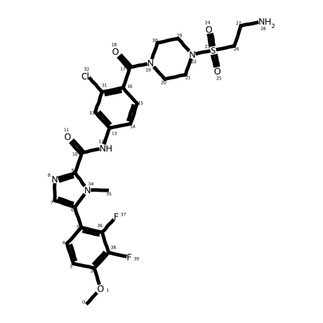 COc1ccc(-c2cnc(C(=O)Nc3ccc(C(=O)N4CCN(S(=O)(=O)CCN)CC4)c(Cl)c3)n2C)c(F)c1F